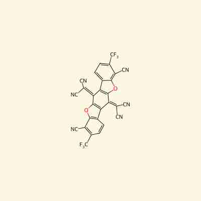 N#CC(C#N)=c1c2oc3c(C#N)c(C(F)(F)F)ccc3c2c(=C(C#N)C#N)c2oc3c(C#N)c(C(F)(F)F)ccc3c12